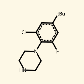 CC(C)(C)c1cc(F)c(N2CCNCC2)c(Cl)c1